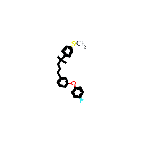 CC(C)(CCCc1cccc(Oc2ccc(F)cc2)c1)c1ccc(SC(F)(F)F)cc1